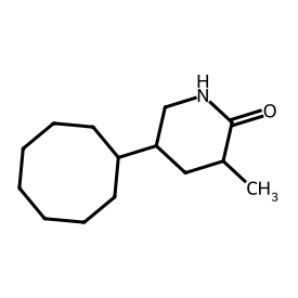 CC1CC(C2CCCCCCC2)CNC1=O